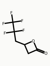 O=C1CC(CC(F)(F)C(F)(F)F)O1